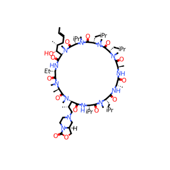 C/C=C/C[C@@H](C)[C@@H](O)[C@H]1C(=O)N[C@@H](CC)C(=O)N(C)[C@H](C)C(=O)N(C)[C@@H]([C@@H](C)CN2CCN3C(=O)OC[C@@H]3C2)C(=O)N[C@@H](C(C)C)C(=O)N(C)[C@@H](CC(C)C)C(=O)N[C@@H](C)C(=O)N[C@H](C)C(=O)N(C)[C@@H](CC(C)C)C(=O)N(C)[C@@H](CC(C)C)C(=O)N(C)[C@@H](C(C)C)C(=O)N1C